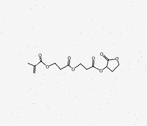 C=C(C)C(=O)OCCC(=O)OCCC(=O)OC1CCOC1=O